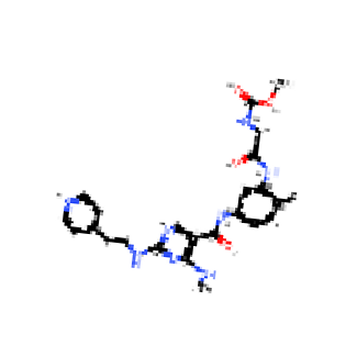 CCCNc1nc(NCCc2ccncc2)ncc1C(=O)Nc1ccc(C)c(NC(=O)CNC(=O)OC(C)(C)C)c1